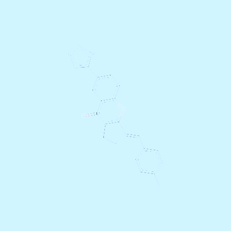 Cc1ccc(/C=C2\CCc3c2oc2ccc(-c4nnn[nH]4)cc2c3=O)cc1